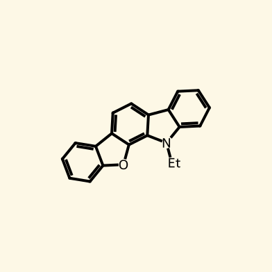 CCn1c2ccccc2c2ccc3c4ccccc4oc3c21